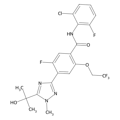 Cn1nc(-c2cc(OCC(F)(F)F)c(C(=O)Nc3c(F)cccc3Cl)cc2F)nc1C(C)(C)O